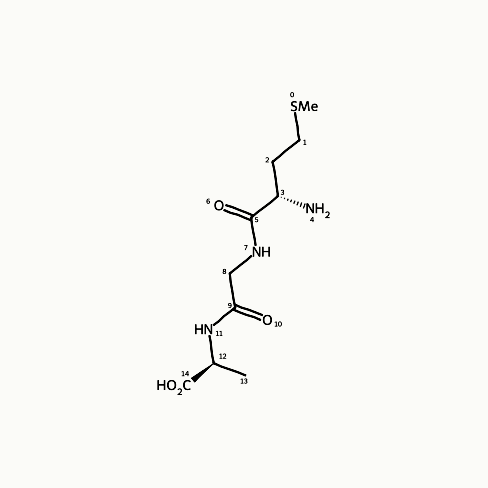 CSCC[C@H](N)C(=O)NCC(=O)N[C@@H](C)C(=O)O